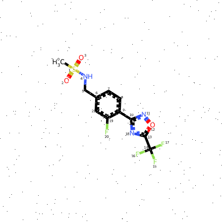 CS(=O)(=O)NCc1ccc(-c2noc(C(F)(F)F)n2)c(F)c1